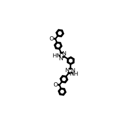 O=C(c1ccccc1)c1ccc(-c2nc(-c3cccc(-c4n[nH]c(-c5ccc(C(=O)c6ccccc6)cc5)n4)c3)n[nH]2)cc1